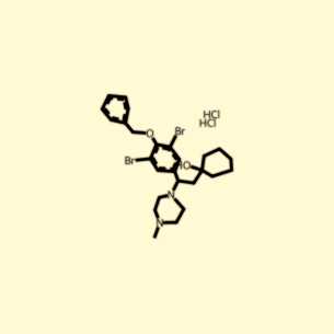 CN1CCN(C(CC2(O)CCCCC2)c2cc(Br)c(OCc3ccccc3)c(Br)c2)CC1.Cl.Cl